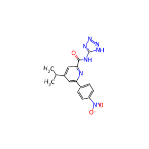 CC(C)c1cc(C(=O)Nc2nnn[nH]2)nc(-c2ccc([N+](=O)[O-])cc2)c1